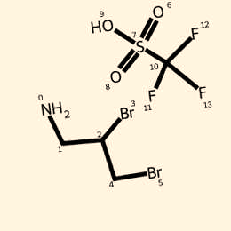 NCC(Br)CBr.O=S(=O)(O)C(F)(F)F